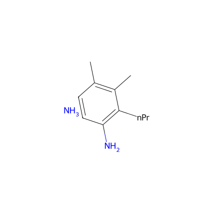 CCCc1c(N)ccc(C)c1C.N